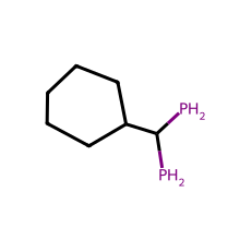 PC(P)C1CCCCC1